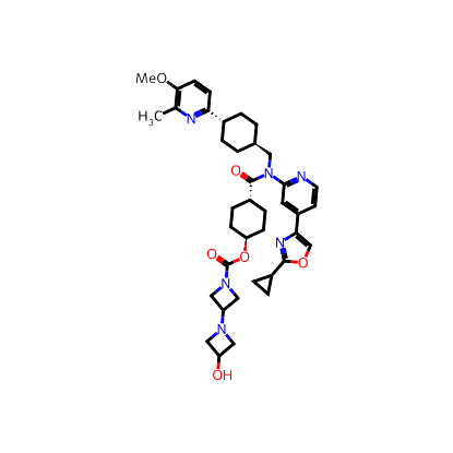 COc1ccc([C@H]2CC[C@H](CN(c3cc(-c4coc(C5CC5)n4)ccn3)C(=O)[C@H]3CC[C@H](OC(=O)N4CC(N5CC(O)C5)C4)CC3)CC2)nc1C